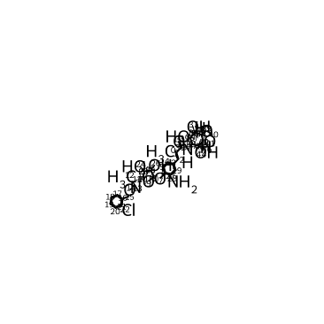 CC(=Cc1ccc(O[C@@H]2O[C@H](C(C)=NOCc3ccccc3Cl)[C@@H](O)[C@H]2O)c(N)c1)C(=O)N[C@@H]1[C@H](O)[C@@H](O)[C@H]2OCO[C@H]2[C@@H]1O